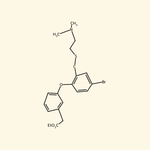 CCOC(=O)Cc1cccc(Oc2ccc(Br)cc2CSCCN(C)C)c1